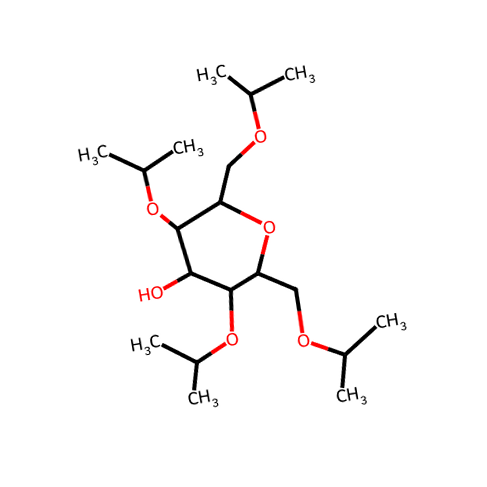 CC(C)OCC1OC(COC(C)C)C(OC(C)C)C(O)C1OC(C)C